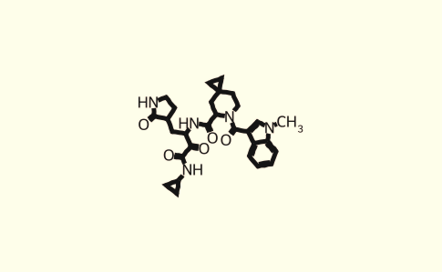 Cn1cc(C(=O)N2CCC3(CC3)CC2C(=O)NC(CC2CCNC2=O)C(=O)C(=O)NC2CC2)c2ccccc21